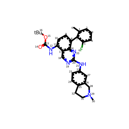 Cc1cccc(F)c1-c1ccc(NC(=O)OC(C)(C)C)c2cnc(Nc3ccc4c(c3)CN(C)CC4)nc12